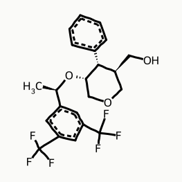 C[C@@H](O[C@H]1COC[C@H](CO)[C@H]1c1ccccc1)c1cc(C(F)(F)F)cc(C(F)(F)F)c1